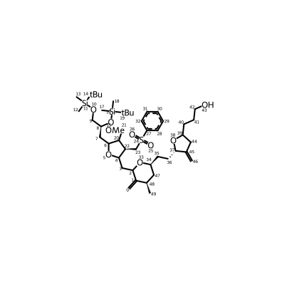 C=C1C(CC2OC(C[C@@H](CO[Si](C)(C)C(C)(C)C)O[Si](C)(C)C(C)(C)C)C(OC)[C@H]2CS(=O)(=O)c2ccccc2)O[C@@H](CC[C@@H]2OC(CCCO)CC2=C)C[C@H]1C